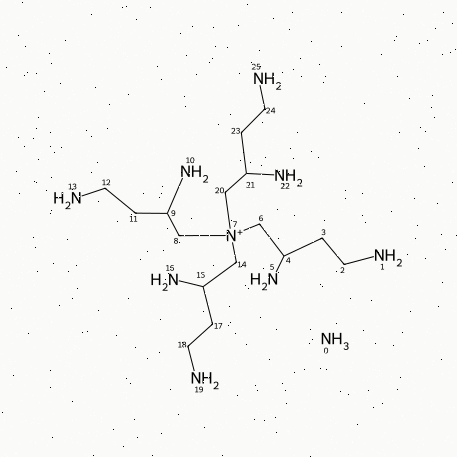 N.NCCC(N)C[N+](CC(N)CCN)(CC(N)CCN)CC(N)CCN